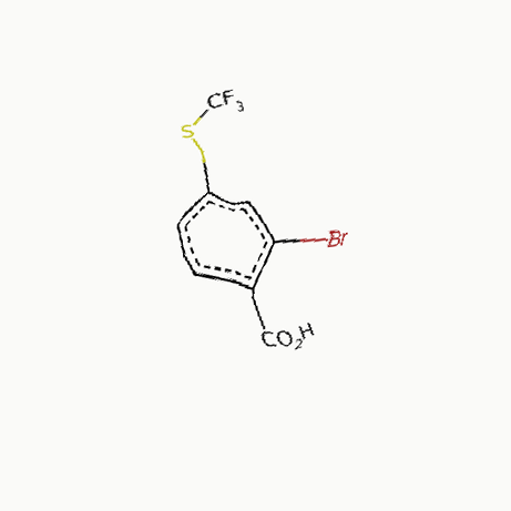 O=C(O)c1ccc(SC(F)(F)F)cc1Br